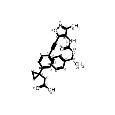 Cc1noc(C#Cc2ccc(C3(CC(=O)O)CC3)cc2)c1NC(=O)O[C@H](C)c1ccccc1